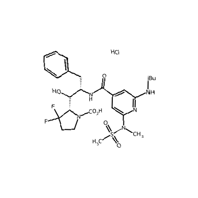 CCC(C)Nc1cc(C(=O)N[C@@H](Cc2ccccc2)C(O)[C@@H]2N(C(=O)O)CCC2(F)F)cc(N(C)S(C)(=O)=O)n1.Cl